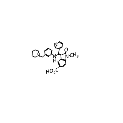 CN1C(=O)C(=C(Nc2cccc(CN3CCCCC3)c2)c2cccnc2)c2cc(C(=O)O)ccc21